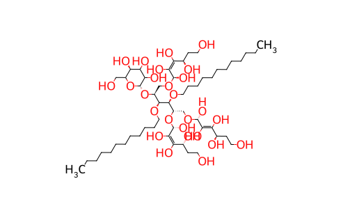 CCCCCCCCCCCCO[C@H]([C@@H](OCCCCCCCCCCCC)[C@H](CO[C@H](O)/C(O)=C(\O)[C@H](O)CCO)O[C@H](O)/C(O)=C(/O)[C@H](O)CCO)[C@H](CO[C@H](O)/C(O)=C(/O)[C@H](O)CCO)O[C@@H]1OC(CO)[C@@H](O)C(O)C1O